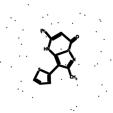 Cc1nn2c(=O)cc(C(C)C)[nH]c2c1-c1cccs1